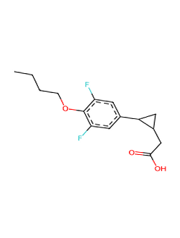 CCCCOc1c(F)cc(C2CC2CC(=O)O)cc1F